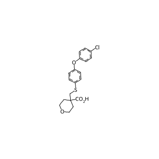 O=C(O)C1(CSc2ccc(Oc3ccc(Cl)cc3)cc2)CCOCC1